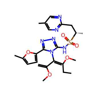 C=C(OC)/C(=C(\CC)OC)n1c(NS(=O)(=O)[C@@H](C)Cc2ncc(C)cn2)nnc1-c1ccc(C)o1